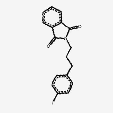 O=C1c2ccccc2C(=O)N1CCCc1ccc(I)cc1